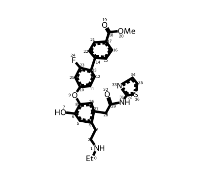 CCNCCc1cc(O)c(Oc2ccc(-c3ccc(C(=O)OC)cc3)c(F)c2)cc1CC(=O)Nc1nccs1